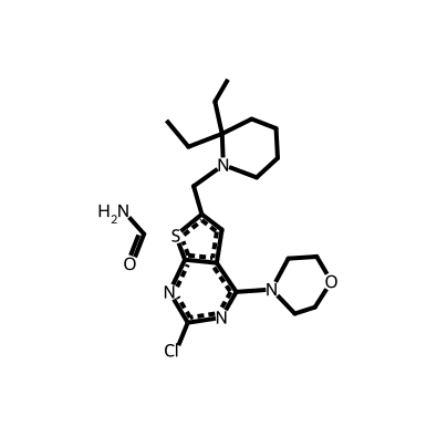 CCC1(CC)CCCCN1Cc1cc2c(N3CCOCC3)nc(Cl)nc2s1.NC=O